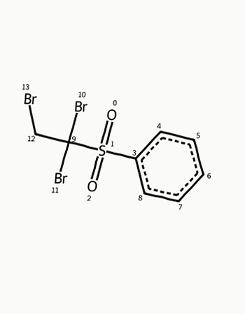 O=S(=O)(c1ccccc1)C(Br)(Br)CBr